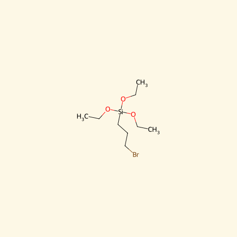 CCO[Si](CCCBr)(OCC)OCC